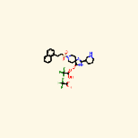 O=C(O)C(F)(F)F.O=C(O)C(F)(F)F.O=C1NC(C2CCCNC2)=NC12CCN(S(=O)(=O)CCc1cccc3ccccc13)CC2